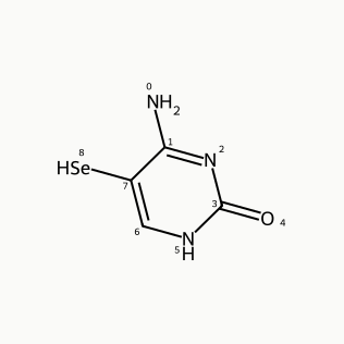 Nc1nc(=O)[nH]cc1[SeH]